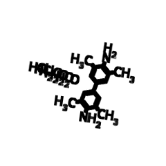 Cc1cc(-c2cc(C)c(N)c(C)c2)cc(C)c1N.Cl.Cl.O.O.O.O